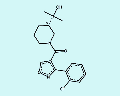 CC(C)(O)[C@H]1CCCN(C(=O)c2conc2-c2ccccc2Cl)C1